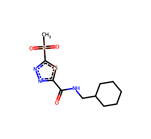 CS(=O)(=O)c1nnc(C(=O)NCC2CCCCC2)s1